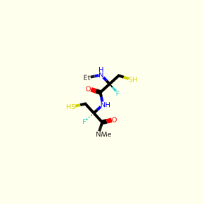 CCN[C@](F)(CS)C(=O)N[C@](F)(CS)C(=O)NC